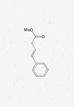 COC(=O)CC=Cc1ccccc1